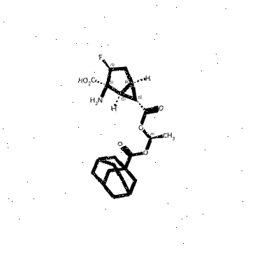 C[C@H](OC(=O)[C@H]1[C@@H]2C[C@H](F)[C@@](N)(C(=O)O)[C@@H]21)OC(=O)C12CC3CC(CC(C3)C1)C2